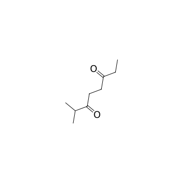 CCC(=O)CCC(=O)C(C)C